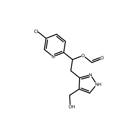 O=COC(Cc1n[nH]cc1CO)c1ccc(Cl)cn1